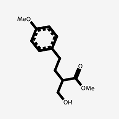 COC(=O)C(CO)CCc1ccc(OC)cc1